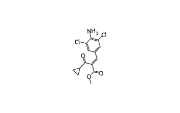 COC(=O)/C(=C/c1cc(Cl)c(N)c(Cl)c1)C(=O)C1CC1